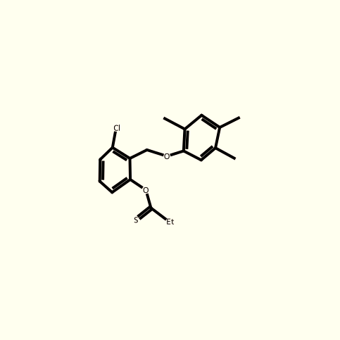 CCC(=S)Oc1cccc(Cl)c1COc1cc(C)c(C)cc1C